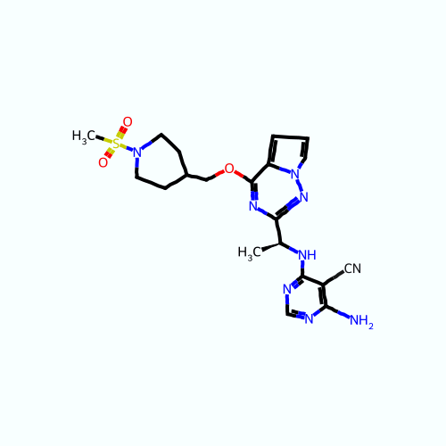 C[C@H](Nc1ncnc(N)c1C#N)c1nc(OCC2CCN(S(C)(=O)=O)CC2)c2cccn2n1